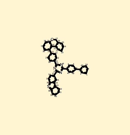 c1ccc(-c2ccc(-c3nc(-c4ccc(-c5cccc6c5-c5ccccc5CO6)cc4)nc(-c4ccc5sc6ccccc6c5c4)n3)cc2)cc1